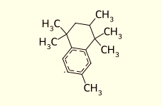 Cc1[c]cc2c(c1)C(C)(C)C(C)CC2(C)C